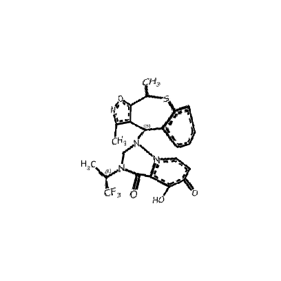 Cc1noc2c1[C@H](N1CN([C@H](C)C(F)(F)F)C(=O)c3c(O)c(=O)ccn31)c1ccccc1SC2C